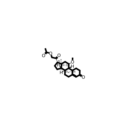 CO[C@H]1C[C@]2(C)[C@@H](C(=O)COC(C)=O)CC[C@H]2[C@@H]2CCC3=CC(=O)CC[C@]3(C)[C@H]21